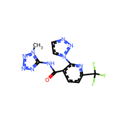 Cn1nnnc1NC(=O)c1ccc(C(F)(F)F)nc1-n1ccnn1